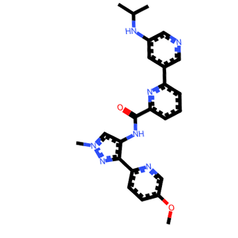 COc1ccc(-c2nn(C)cc2NC(=O)c2cccc(-c3cncc(NC(C)C)c3)n2)nc1